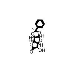 C[C@]1(c2ccccc2)O[C@H]2O[C@H]3[C@H](OC(=O)[C@H]3O)[C@H]2O1